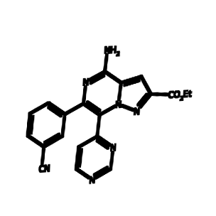 CCOC(=O)c1cc2c(N)nc(-c3cccc(C#N)c3)c(-c3ccncn3)n2n1